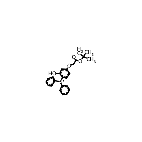 CC(C)(C)OC(=O)COc1ccc([S+](c2ccccc2)c2ccccc2)c(O)c1